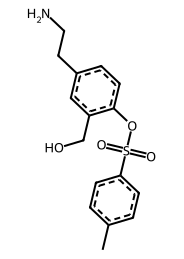 Cc1ccc(S(=O)(=O)Oc2ccc(CCN)cc2CO)cc1